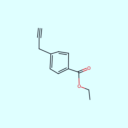 C#CCc1ccc(C(=O)OCC)cc1